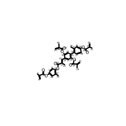 C=C(C)C(=O)Oc1ccc(OC(=O)/C(C)=C/c2cc(OC(=O)C(=C)C)c(-c3ccc(OC(=O)C(=C)C)cc3C)cc2OC(=O)C(=C)C)c(C)c1